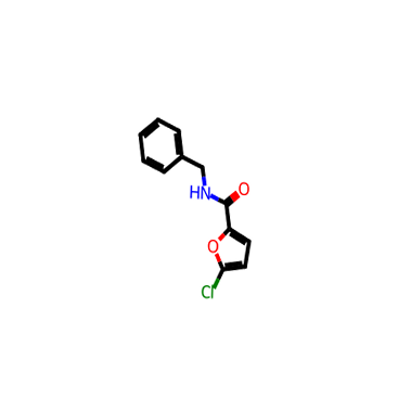 O=C(NCc1ccccc1)c1ccc(Cl)o1